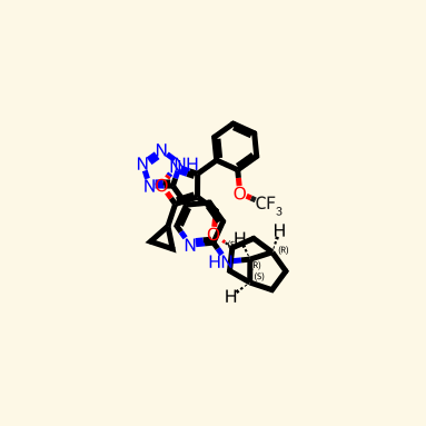 FC(F)(F)Oc1ccccc1-c1noc(C2CC2)c1CO[C@@H]1C[C@H]2CC[C@@H](C1)[C@H]2Nc1ccc(-c2nnn[nH]2)cn1